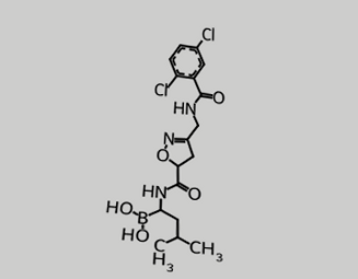 CC(C)CC(NC(=O)C1CC(CNC(=O)c2cc(Cl)ccc2Cl)=NO1)B(O)O